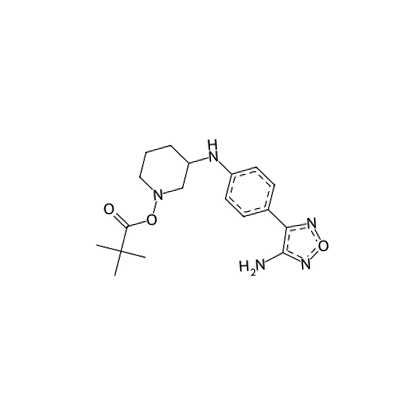 CC(C)(C)C(=O)ON1CCCC(Nc2ccc(-c3nonc3N)cc2)C1